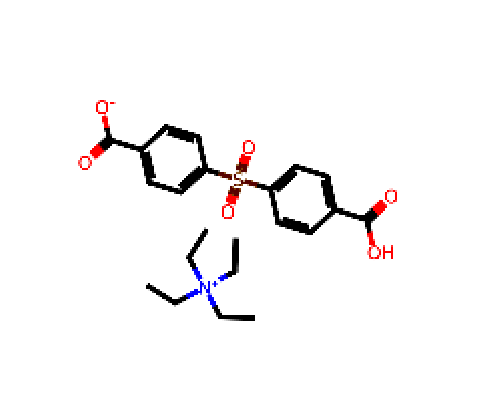 CC[N+](CC)(CC)CC.O=C([O-])c1ccc(S(=O)(=O)c2ccc(C(=O)O)cc2)cc1